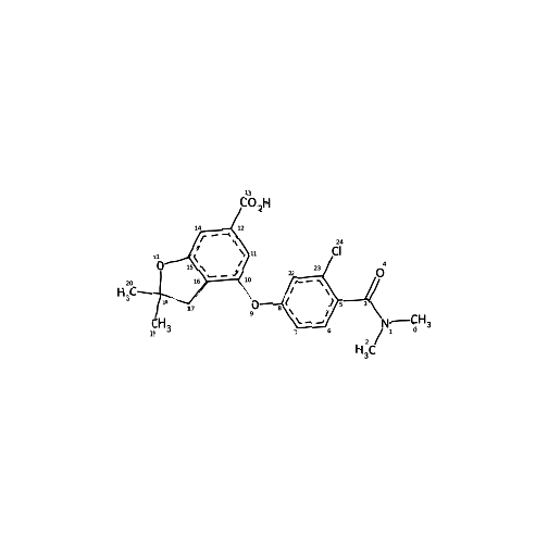 CN(C)C(=O)c1ccc(Oc2cc(C(=O)O)cc3c2CC(C)(C)O3)cc1Cl